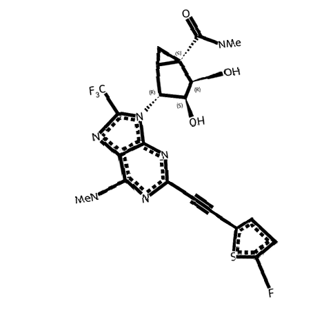 CNC(=O)[C@@]12CC1[C@@H](n1c(C(F)(F)F)nc3c(NC)nc(C#Cc4ccc(F)s4)nc31)[C@H](O)[C@@H]2O